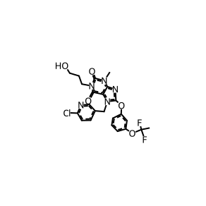 Cn1c(=O)n(CCCO)c(=O)c2c1nc(Oc1cccc(OC(C)(F)F)c1)n2Cc1ccc(Cl)nc1